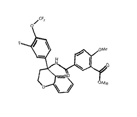 COC(=O)c1cc(C(=O)NC2(c3ccc(OC(F)(F)F)c(F)c3)CCOc3cccnc32)ccc1OC